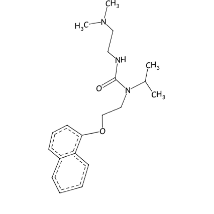 CC(C)N(CCOc1cccc2ccccc12)C(=O)NCCN(C)C